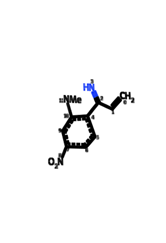 C=CC(=N)c1ccc([N+](=O)[O-])cc1NC